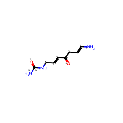 NC=CCC(=O)C=CCNC(N)=O